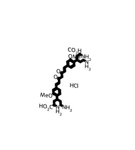 COc1cc(C=CC(=O)CC(=O)C=Cc2ccc(C(CCN)CC(N)C(=O)O)c(OC)c2)ccc1C(CCN)CC(N)C(=O)O.Cl